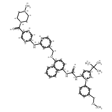 COCc1cccc(-n2nc(C(C)(C)C)cc2NC(=O)Nc2ccc(OCc3ccnc(Nc4cnc(C(=O)N5CCN(C)CC5)cn4)c3)c3ccccc23)c1